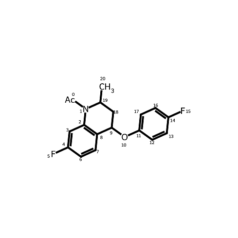 CC(=O)N1c2cc(F)ccc2C(Oc2ccc(F)cc2)CC1C